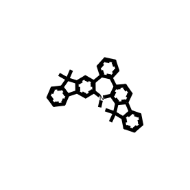 CN1c2cc3c(cc2-c2ccccc2-c2ccc4c(c21)C(C)(C)c1ccccc1-4)C(C)(C)c1ccccc1-3